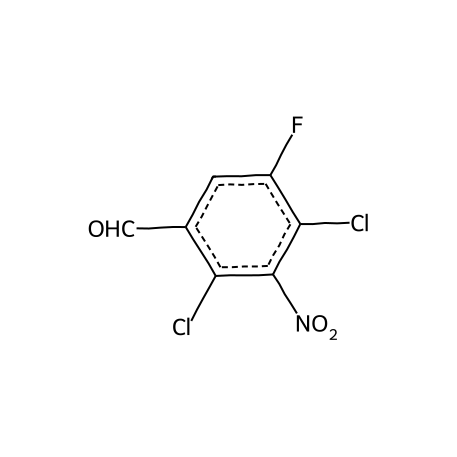 O=Cc1cc(F)c(Cl)c([N+](=O)[O-])c1Cl